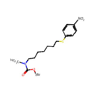 CC(C)(C)OC(=O)N(CCCCCCCSc1ccc([N+](=O)[O-])cc1)C(=O)O